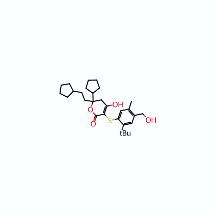 Cc1cc(SC2=C(O)CC(CCC3CCCC3)(C3CCCC3)OC2=O)c(C(C)(C)C)cc1CO